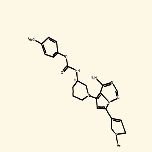 COc1ccc(OC(=O)N[C@@H]2CCCN(c3cc(C4=CCN(C(C)=O)C4)n4ncnc(N)c34)C2)cc1